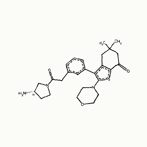 CC1(C)CC(=O)c2sc(N3CCOCC3)c(-c3cccc(CC(=O)N4CC[C@H](N)C4)c3)c2C1